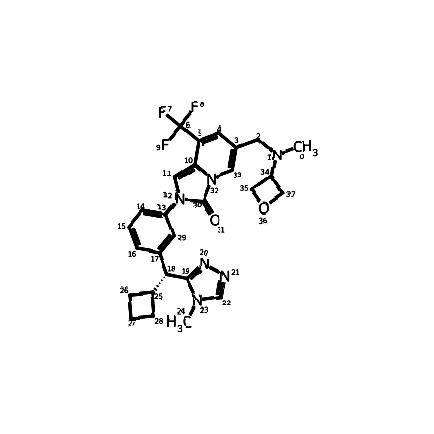 CN(Cc1cc(C(F)(F)F)c2cn(-c3cccc([C@H](c4nncn4C)C4CCC4)c3)c(=O)n2c1)C1COC1